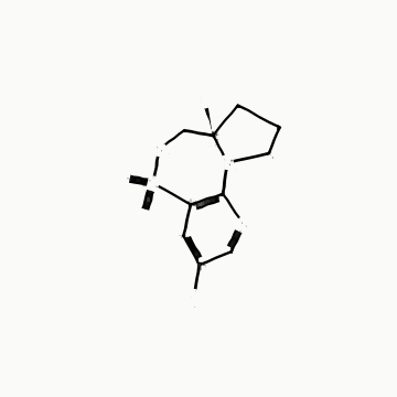 O=S1(=O)NC[C@@H]2CCCN2c2ncc(Cl)cc21